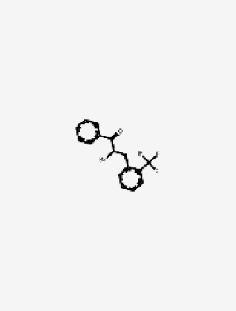 O=C(c1ccccc1)C(Br)Cc1ccccc1C(F)(F)F